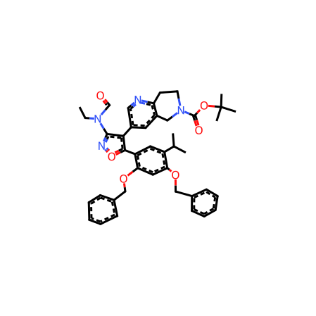 CCN(C=O)c1noc(-c2cc(C(C)C)c(OCc3ccccc3)cc2OCc2ccccc2)c1-c1cnc2c(c1)CN(C(=O)OC(C)(C)C)CC2